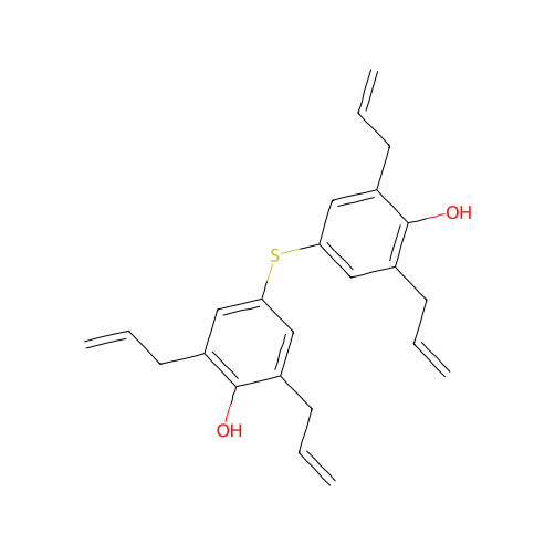 C=CCc1cc(Sc2cc(CC=C)c(O)c(CC=C)c2)cc(CC=C)c1O